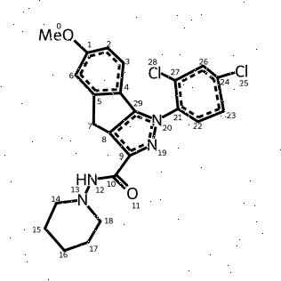 COc1ccc2c(c1)Cc1c(C(=O)NN3CCCCC3)nn(-c3ccc(Cl)cc3Cl)c1-2